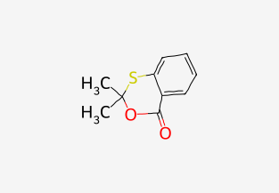 CC1(C)OC(=O)c2ccccc2S1